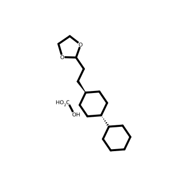 C1CCC([C@H]2CC[C@H](CCC3OCCO3)CC2)CC1.O=C(O)O